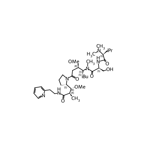 CC[C@H](C)[C@@H]([C@@H](CC(=O)N1CCC[C@H]1[C@H](OC)[C@@H](C)C(=O)NCCc1ccccn1)OC)N(C)C(=O)[C@H](CO)NC(=O)[C@H](C(C)C)N(C)C